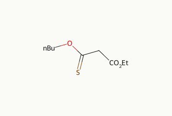 CCCCOC(=S)CC(=O)OCC